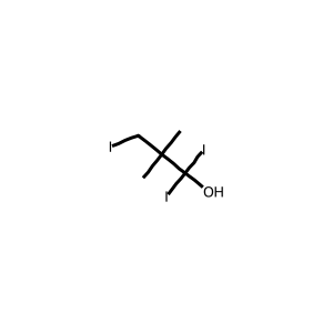 CC(C)(CI)C(O)(I)I